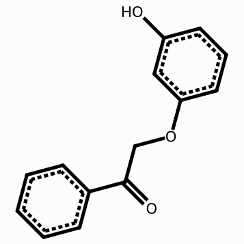 O=C(COc1cccc(O)c1)c1ccccc1